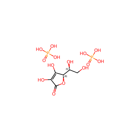 O=C1O[C@H]([C@@H](O)CO)C(O)=C1O.O=P(O)(O)O.O=P(O)(O)O